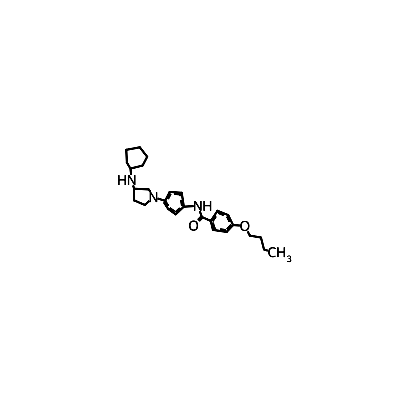 CCCCOc1ccc(C(=O)Nc2ccc(N3CCC(NC4CCCCC4)C3)cc2)cc1